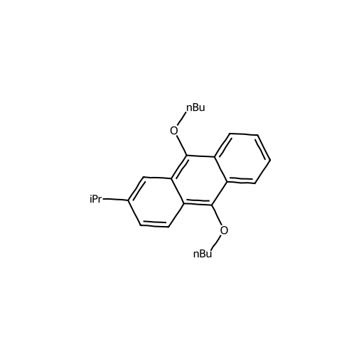 CCCCOc1c2ccccc2c(OCCCC)c2cc(C(C)C)ccc12